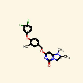 C[C@H]1Cn2c(cc(OCc3ccc(Oc4ccc(F)c(F)c4)c(C#N)c3)nc2=O)N1C